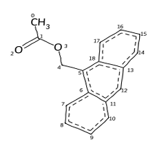 CC(=O)OCc1c2ccccc2cc2ccccc12